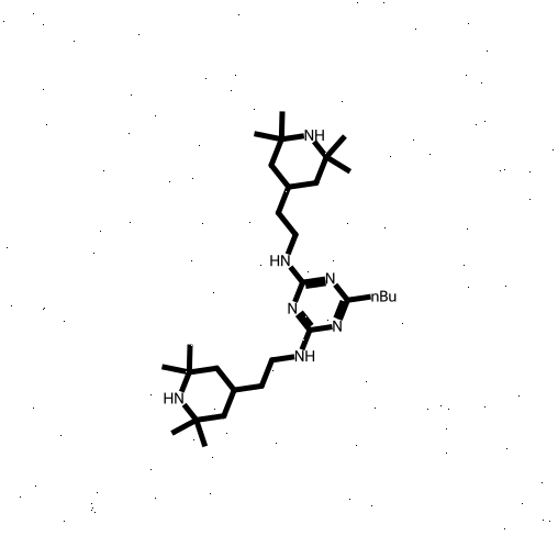 CCCCc1nc(NCCC2CC(C)(C)NC(C)(C)C2)nc(NCCC2CC(C)(C)NC(C)(C)C2)n1